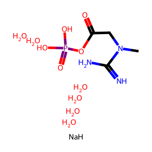 CN(CC(=O)OP(=O)(O)O)C(=N)N.O.O.O.O.O.O.[NaH]